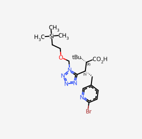 CC(C)(C)[C@H](C(=O)O)[C@H](Cc1ccc(Br)nc1)c1nnnn1COCC[Si](C)(C)C